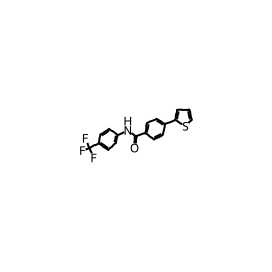 O=C(Nc1ccc(C(F)(F)F)cc1)c1ccc(-c2cccs2)cc1